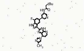 Cc1cn(-c2ccnc3[nH]c(-c4n[nH]c5c(F)cc(-c6cncc(NC(=O)CC(C)(C)C)c6)cc45)nc23)cn1